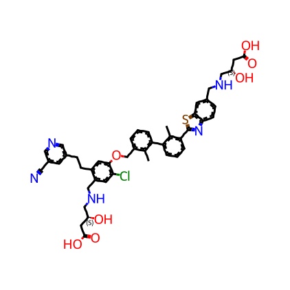 Cc1c(COc2cc(CCc3cncc(C#N)c3)c(CNC[C@@H](O)CC(=O)O)cc2Cl)cccc1-c1cccc(-c2nc3ccc(CNC[C@@H](O)CC(=O)O)cc3s2)c1C